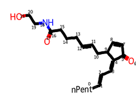 CCCCC/C=C/C=C1/C(=O)C=CC1C/C=C/CCCC(=O)NCCO